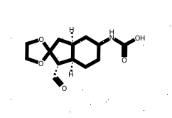 O=C[C@H]1[C@@H]2CCC(NC(=O)O)C[C@@H]2CC12OCCO2